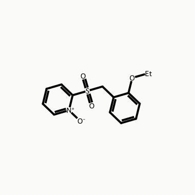 CCOc1ccccc1CS(=O)(=O)c1cccc[n+]1[O-]